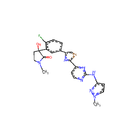 CN1CC[C@](O)(c2cc(-c3csc(-c4ccnc(Nc5ccn(C)n5)n4)n3)ccc2F)C1=O